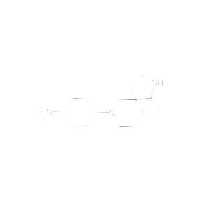 Nc1ccc(N2CCCC3(CCNC3=O)C2)cc1